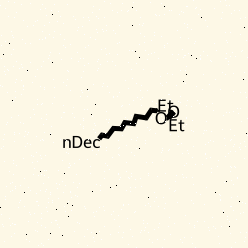 CCCCCCCCCCCCCCCCCCCC(CC)OC(=O)CC